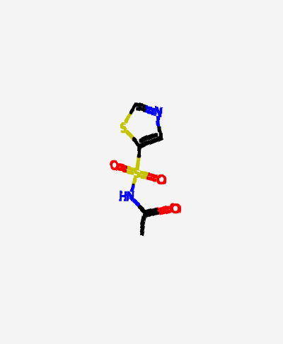 CC(=O)NS(=O)(=O)c1cncs1